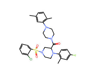 Cc1ccc(C)c(N2CCN(C(=O)C3CN(S(=O)(=O)c4ccccc4Cl)CCN3c3ccc(F)cc3C)CC2)c1